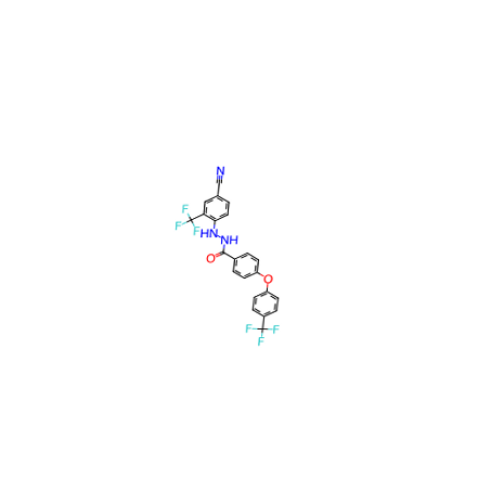 N#Cc1ccc(NNC(=O)c2ccc(Oc3ccc(C(F)(F)F)cc3)cc2)c(C(F)(F)F)c1